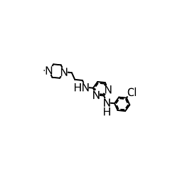 Clc1cccc(Nc2nccc(NCCCN3CC[N]CC3)n2)c1